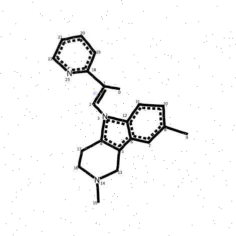 C/C(=C\n1c2c(c3cc(C)ccc31)CN(C)CC2)c1ccccn1